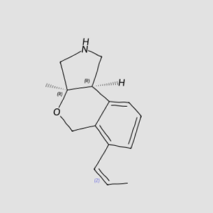 C/C=C\c1cccc2c1CO[C@@]1(C)CNC[C@@H]21